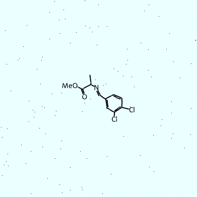 COC(=O)C(C)N=Cc1ccc(Cl)c(Cl)c1